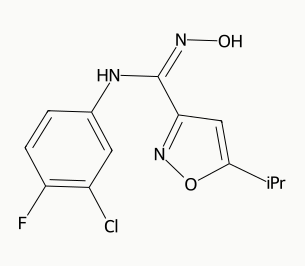 CC(C)c1cc(/C(=N\O)Nc2ccc(F)c(Cl)c2)no1